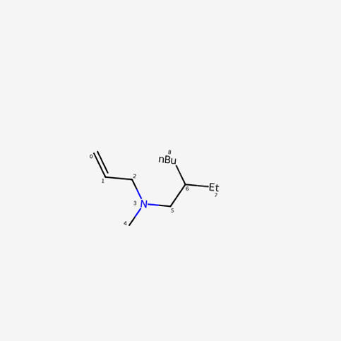 C=CCN(C)CC(CC)CCCC